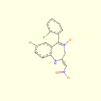 O=[N+]([O-])/C=C1/C[N+]([O-])=C(c2ccccc2F)c2cc(Cl)ccc2N1